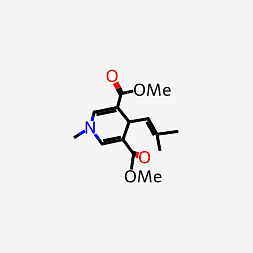 COC(=O)C1=CN(C)C=C(C(=O)OC)C1C=C(C)C